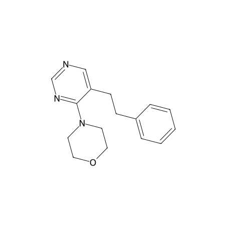 c1ccc(CCc2cncnc2N2CCOCC2)cc1